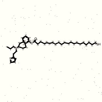 CCCN(CCc1cccs1)C1CCc2c(cccc2OC(=O)CCCCCCCCCCCCCCCCCCCCS)C1